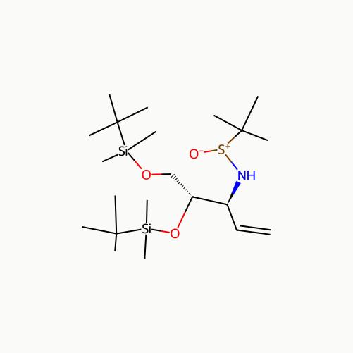 C=C[C@H](N[S+]([O-])C(C)(C)C)[C@@H](CO[Si](C)(C)C(C)(C)C)O[Si](C)(C)C(C)(C)C